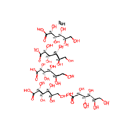 O=C(O)[C@H](O)[C@@H](O)[C@H](O)[C@H](O)CO.O=C(O)[C@H](O)[C@@H](O)[C@H](O)[C@H](O)CO.O=C(O)[C@H](O)[C@@H](O)[C@H](O)[C@H](O)CO.O=C(O)[C@H](O)[C@@H](O)[C@H](O)[C@H](O)CO.O=C(O)[C@H](O)[C@@H](O)[C@H](O)[C@H](O)CO.[NaH]